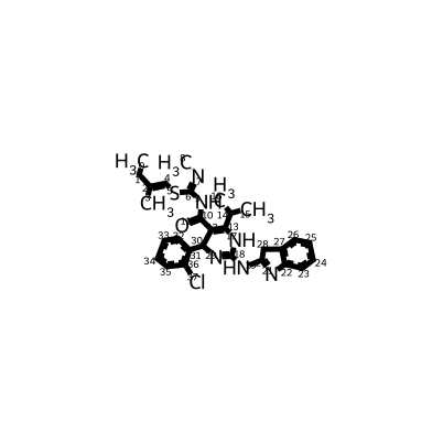 CC/C(C)=C/S/C(=N\C)NC(=O)C1=C(C(C)C)NC(NC2=Nc3ccccc3C2)=NC1c1ccccc1Cl